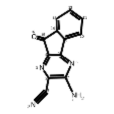 N#Cc1nc2c(nc1N)-c1ccccc1C2=O